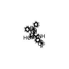 O=C(O)CN(C(=O)C(=O)c1c[nH]c2cc(OC(F)(F)F)ccc12)C(C(=O)NC1CCCCC1)C1CCCCC1